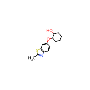 Cc1nc2ccc(OC3CCCCC3O)cc2s1